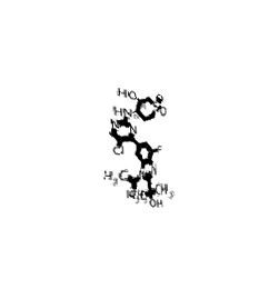 CC(C)n1c(C(C)(C)O)nc2c(F)cc(-c3nc(N[C@H]4CCS(=O)(=O)C[C@@H]4O)ncc3Cl)cc21